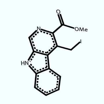 COC(=O)c1ncc2[nH]c3ccccc3c2c1CI